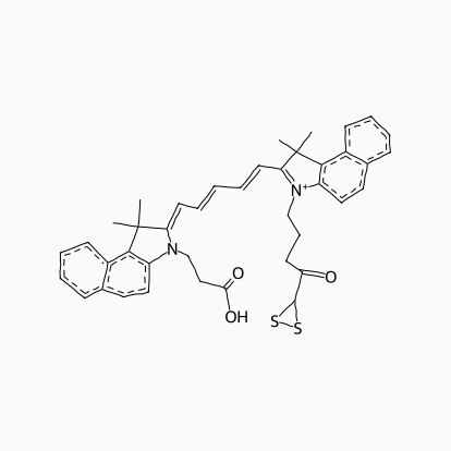 CC1(C)C(/C=C/C=C/C=C2\N(CCC(=O)O)c3ccc4ccccc4c3C2(C)C)=[N+](CCCC(=O)C2SS2)c2ccc3ccccc3c21